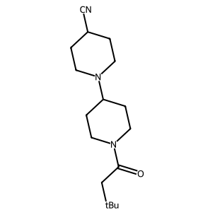 CC(C)(C)CC(=O)N1CCC(N2CCC(C#N)CC2)CC1